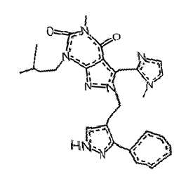 CC(C)Cn1c(=O)n(C)c(=O)c2c(-c3nccn3C)n(Cc3c[nH]nc3-c3ccccc3)nc21